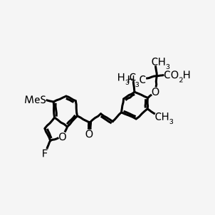 CSc1ccc(C(=O)/C=C/c2cc(C)c(OC(C)(C)C(=O)O)c(C)c2)c2oc(F)cc12